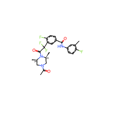 CC(=O)N1C[C@@H](C)N(C(=O)C(F)(F)c2cc(C(=O)Nc3ccc(F)c(C)c3)ccc2F)[C@@H](C)C1